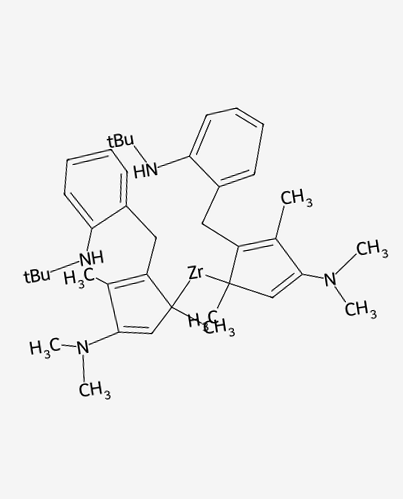 CC1=C(Cc2ccccc2NC(C)(C)C)[C](C)([Zr][C]2(C)C=C(N(C)C)C(C)=C2Cc2ccccc2NC(C)(C)C)C=C1N(C)C